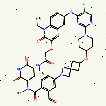 CCn1c(=O)c(OCC(=O)NC)cc2cc(Nc3nc(N4CCC(OC5CC6(C5)CN(c5ccc(C(=O)N(C)C7CCC(=O)NC7=O)c(C=O)c5)C6)CC4)ncc3Cl)ccc21